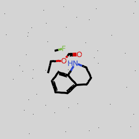 CCOC=O.CF.c1ccc2c(c1)CCCN2